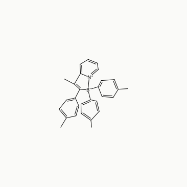 CC1=C(c2ccc(C)cc2)[B-](c2ccc(C)cc2)(c2ccc(C)cc2)[n+]2ccccc21